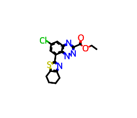 CCOC(=O)c1nnc2c(-c3nc4c(s3)CCCC4)cc(Cl)cc2n1